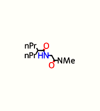 CCCC(CCC)C(=O)NCC(=O)NC